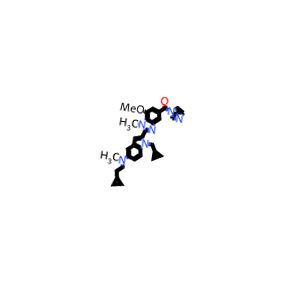 COc1cc(C(=O)N2CC3C4C2N34)cc2nc(-c3cc4cc(N(C)CCC5CC5)ccc4n3CC3CC3)n(C)c12